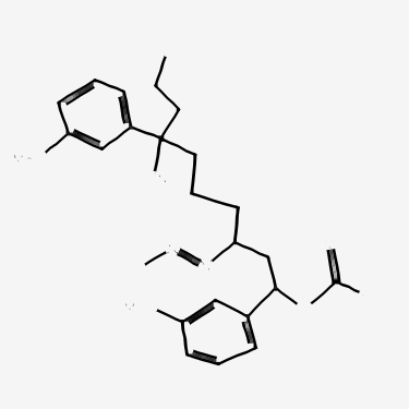 CCCCCCCCCCCCC(C#N)(CCCC(CC(OC(=O)C(=O)O)c1cccc(OC)c1)N=NC)c1cccc(OC)c1